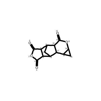 O=C1OC(=O)C2C3CC(C12)C1C(=O)OC2CC2C31